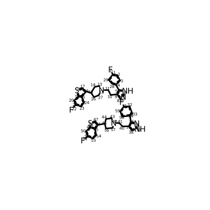 Fc1ccc(-c2[nH]ncc2CCN2CCC(c3csc4cc(F)ccc34)CC2)cc1.Fc1ccc(-c2n[nH]cc2CCN2CCC(c3csc4cc(F)ccc34)CC2)cc1